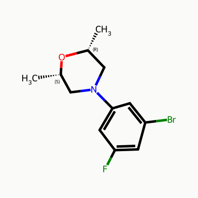 C[C@@H]1CN(c2cc(F)cc(Br)c2)C[C@H](C)O1